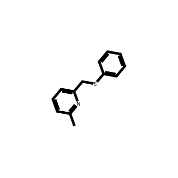 Cc1cccc(CSc2ccccc2)n1